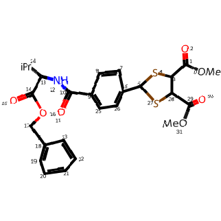 COC(=O)C1SC(c2ccc(C(=O)NC(C(=O)OCc3ccccc3)C(C)C)cc2)SC1C(=O)OC